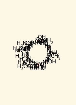 CCCC[C@H]1C(=O)N(C)[C@@H](CCCC)C(=O)NC(CCCNC(=N)N)C(=O)N[C@H](C(=O)NCC(N)=O)CSCC(=O)N[C@@H](Cc2ccc(O)cc2)C(=O)N(C)[C@@H](C)C(=O)N[C@@H](CC(N)=O)C(=O)N2CCC[C@H]2C(=O)N[C@@H](CN)C(=O)N[C@@H](CC(C)C)C(=O)N2C[C@H](O)C[C@H]2C(=O)N[C@@H](Cc2c[nH]c3ccccc23)C(=O)N[C@@H](CO)C(=O)N[C@@H](Cc2c(-c3cccc(OCCC)c3)[nH]c3ccccc23)C(=O)N1C